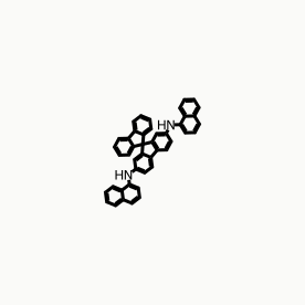 c1ccc2c(c1)-c1ccccc1C21c2cc(Nc3cccc4ccccc34)ccc2-c2ccc(Nc3cccc4ccccc34)cc21